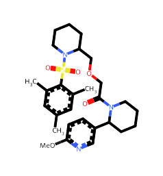 COc1ccc(C2CCCCN2C(=O)COCC2CCCCN2S(=O)(=O)c2c(C)cc(C)cc2C)cn1